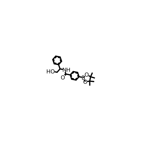 CC1(C)OB(c2ccc(C(=O)NC(CO)c3ccccc3)cc2)OC1(C)C